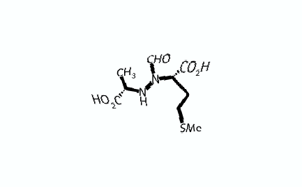 CSCC[C@@H](C(=O)O)N(C=O)N[C@@H](C)C(=O)O